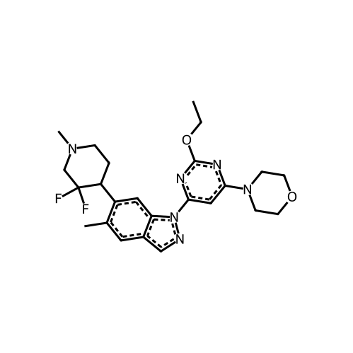 CCOc1nc(N2CCOCC2)cc(-n2ncc3cc(C)c(C4CCN(C)CC4(F)F)cc32)n1